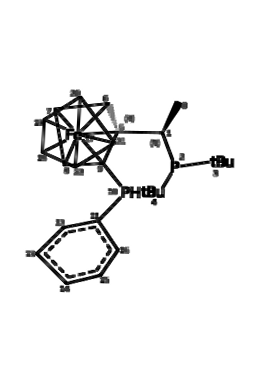 C[C@@H](P(C(C)(C)C)C(C)(C)C)[C@@]12[CH]3[CH]4[CH]5[C]1(Pc1ccccc1)[Fe]45321678[CH]2[CH]1[CH]6[CH]7[CH]28